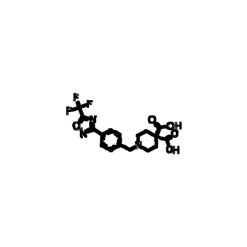 O=C(O)C1(C(=O)O)CCN(Cc2ccc(-c3noc(C(F)(F)F)n3)cc2)CC1